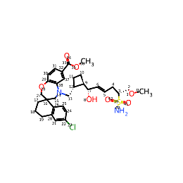 COC[C@@H](C/C=C/[C@H](O)[C@@H]1CC[C@H]1CN1CC2(CCCc3cc(Cl)ccc32)COc2ccc(C(=O)OC)cc21)S(N)(=O)=O